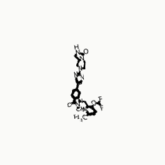 Cc1ccc(OC(F)F)c(Cn2c3cc(-c4cnc(N5CCN6C(=O)NCC6C5)nc4)ccc3c(=O)n2C)n1